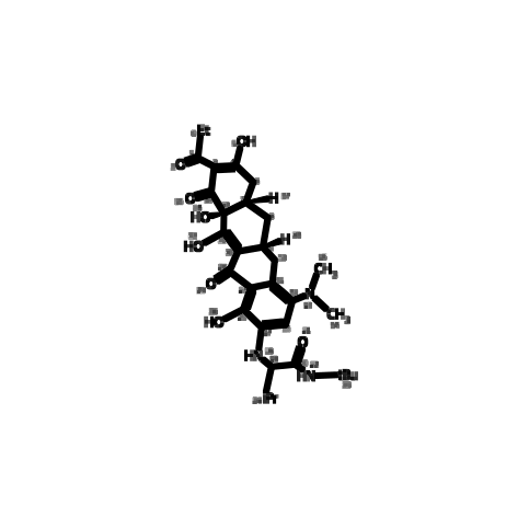 CCC(=O)C1=C(O)C[C@@H]2C[C@@H]3Cc4c(N(C)C)cc(NC(C(=O)NC(C)(C)C)C(C)C)c(O)c4C(=O)C3=C(O)[C@]2(O)C1=O